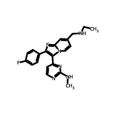 CCNCc1ccn2c(-c3ccnc(NC)n3)c(-c3ccc(F)cc3)nc2c1